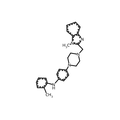 Cc1ccccc1Nc1ccc(N2CCN(Cc3nc4ccccc4n3C)CC2)cc1